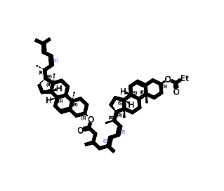 CCC(=O)O[C@H]1CC[C@@]2(C)C(=CC[C@@H]3C2CC[C@]2(C)[C@@H]([C@H](C)/C=C\C=C(/C)CC(C)CC(=O)O[C@H]4CC[C@@]5(C)C(=CC[C@@H]6C5CC[C@]5(C)[C@@H]([C@H](C)/C=C\C=C(C)C)CC[C@@H]65)C4)CC[C@@H]32)C1